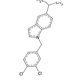 CC(C)c1ccc2c(ccn2Cc2ccc(Cl)c(Cl)c2)c1